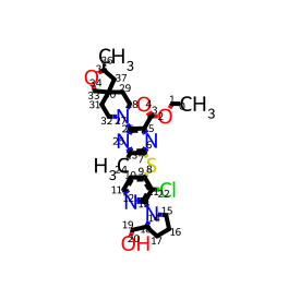 CCOC(=O)c1nc(Sc2ccnc(N3CCCC3CO)c2Cl)c(C)nc1N1CCC2(CC1)CO[C@@H](C)C2